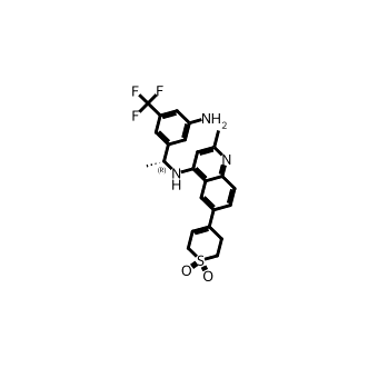 Cc1cc(N[C@H](C)c2cc(N)cc(C(F)(F)F)c2)c2cc(C3=CCS(=O)(=O)CC3)ccc2n1